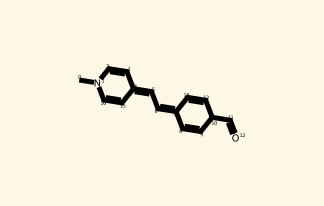 CN1C=CC(=CC=C2C=CC(C=O)C=C2)C=C1